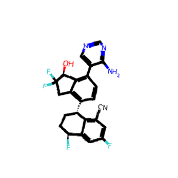 N#Cc1cc(F)cc2c1[C@@H](c1ccc(-c3cncnc3N)c3c1CC(F)(F)[C@H]3O)CC[C@@H]2F